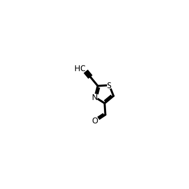 C#Cc1nc(C=O)cs1